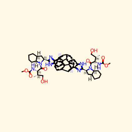 COC(=O)N[C@H](C(=O)N1[C@H](c2nc3cc(-c4cc5ccc4/C=C\c4ccc(c(-c6ccc7[nH]c([C@@H]8C[C@@H]9CCCC[C@@H]9N8C(=O)[C@@H](NC(=O)OC)[C@@H](C)CO)nc7c6)c4)/C=C\5)ccc3[nH]2)C[C@@H]2CCCC[C@@H]21)[C@@H](C)CO